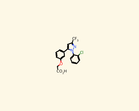 O=C(O)COc1cccc(-c2cc(C(F)(F)F)nn2-c2ccccc2Cl)c1